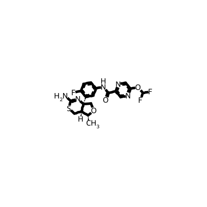 C[C@H]1OC[C@]2(c3cc(NC(=O)c4cnc(OC(F)F)cn4)ccc3F)N=C(N)SC[C@H]12